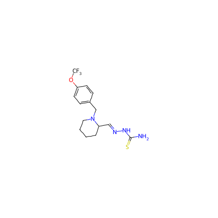 NC(=S)NN=CC1CCCCN1Cc1ccc(OC(F)(F)F)cc1